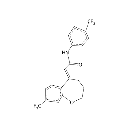 O=C(C=C1CCCOc2cc(C(F)(F)F)ccc21)Nc1ccc(C(F)(F)F)cc1